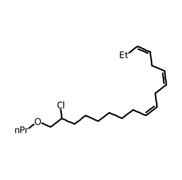 CC/C=C\C/C=C\C/C=C\CCCCCCC(Cl)COCCC